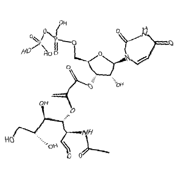 C=C(O[C@@H]([C@H](O)[C@H](O)CO)[C@H](C=O)NC(C)=O)C(=O)O[C@H]1[C@@H](O)[C@H](n2ccc(=O)[nH]c2=O)O[C@@H]1COP(=O)(O)OP(=O)(O)O